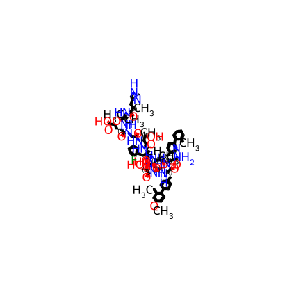 CCc1cc(OC)ccc1-c1ccc(C[C@H](NC(=O)[C@H](CC(=O)O)NC(=O)[C@H](CO)NC(=O)[C@@H](NC(=O)C(C)(Cc2ccccc2F)NC(=O)[C@@H](NC(=O)CNC(=O)[C@H](CCC(=O)O)NC(=O)C(C)(C)NC(=O)[C@@H](C)Cc2c[nH]cn2)[C@@H](C)O)[C@@H](C)O)C(=O)N[C@@H](Cc2ccc(-c3ccccc3C)nc2)C(N)=O)cc1